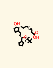 CC(C)(C)[Si](C)(C)O[C@@H](CCC1=CC[C@H](O)[C@@H]1CCC=C=CCC(=O)O)C1CCCC1